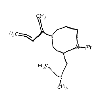 C=CC(=C)N1CCN(C(C)C)C(CN(C)C)C1